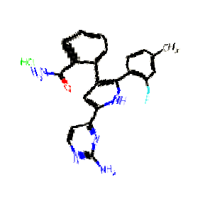 Cc1ccc(-c2[nH]c(-c3ccnc(N)n3)cc2-c2ccccc2C(N)=O)c(F)c1.Cl